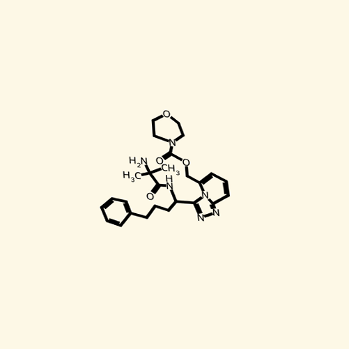 CC(C)(N)C(=O)NC(CCCc1ccccc1)c1nnc2cccc(COC(=O)N3CCOCC3)n12